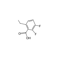 CCc1ccc(F)c(F)c1C(=O)O